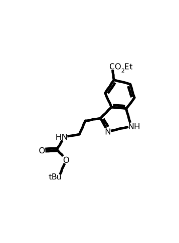 CCOC(=O)c1ccc2[nH]nc(CCNC(=O)OC(C)(C)C)c2c1